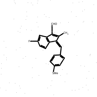 CSc1ccc(/C=C2/C(C)=C(C=O)c3cc(F)ccc32)cc1